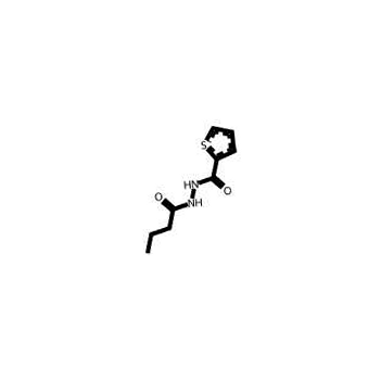 CCCC(=O)NNC(=O)c1cccs1